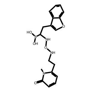 Cn1c(CCNONC(Cc2coc3ccccc23)B(O)O)cccc1=O